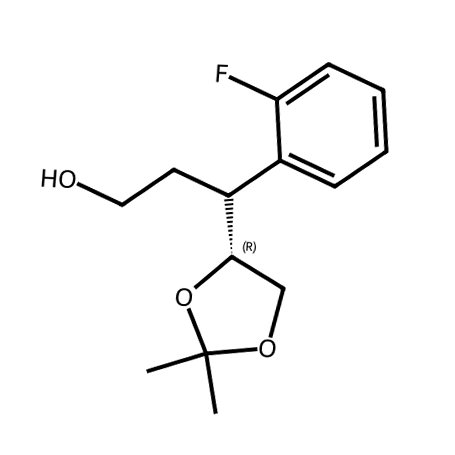 CC1(C)OC[C@@H](C(CCO)c2ccccc2F)O1